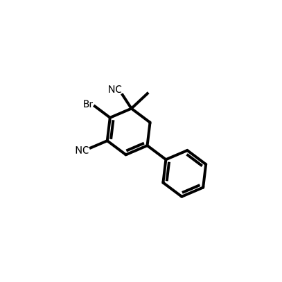 CC1(C#N)CC(c2ccccc2)=CC(C#N)=C1Br